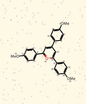 COc1ccc(-c2cc(-c3ccc(OC)cc3)[o+]c(-c3ccc(OC)cc3)c2)cc1